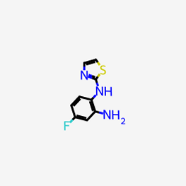 Nc1cc(F)ccc1Nc1nccs1